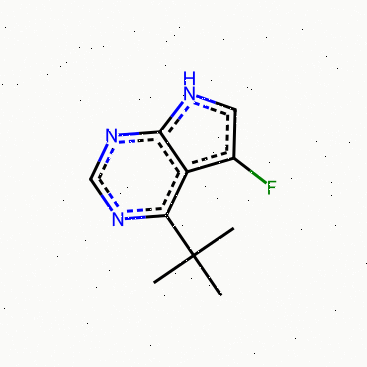 CC(C)(C)c1ncnc2[nH]cc(F)c12